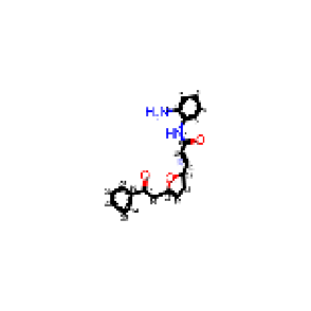 Nc1ccccc1NC(=O)/C=C/C1CC=C(CC(=O)c2ccccc2)O1